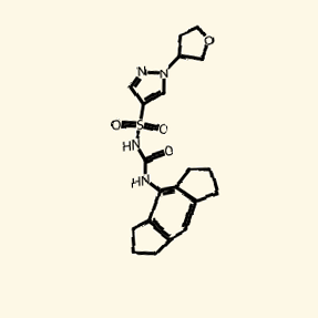 O=C(Nc1c2c(cc3c1CCC3)CCC2)NS(=O)(=O)c1cnn(C2CCOC2)c1